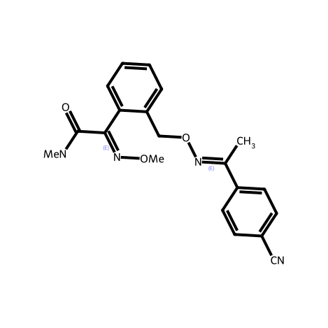 CNC(=O)/C(=N/OC)c1ccccc1CO/N=C(\C)c1ccc(C#N)cc1